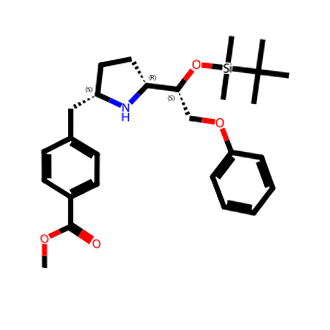 COC(=O)c1ccc(C[C@@H]2CC[C@H]([C@@H](COc3ccccc3)O[Si](C)(C)C(C)(C)C)N2)cc1